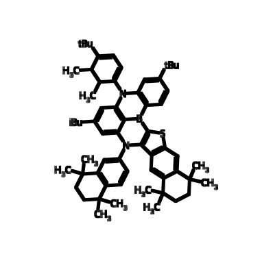 CCC(C)c1cc2c3c(c1)N(c1ccc4c(c1)C(C)(C)CCC4(C)C)c1c(sc4cc5c(cc14)C(C)(C)CCC5(C)C)B3c1ccc(C(C)(C)C)cc1N2C1=CC=C(C(C)(C)C)C(C)C1C